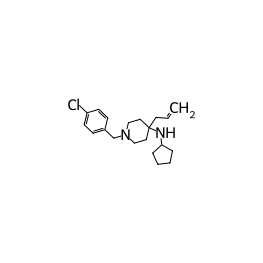 C=CCC1(NC2CCCC2)CCN(Cc2ccc(Cl)cc2)CC1